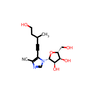 CC(C#Cc1c(C#N)ncn1[C@@H]1O[C@H](CO)[C@@H](O)[C@H]1O)CCO